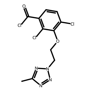 Cc1nnn(CCOc2c(Cl)ccc(C(=O)Cl)c2Cl)n1